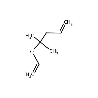 C=CCC(C)(C)OC=C